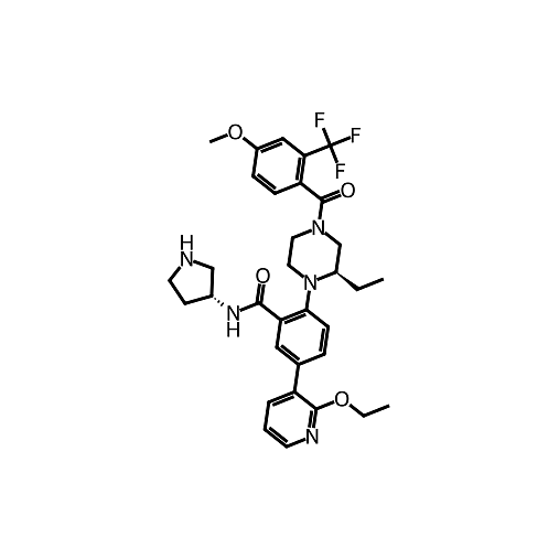 CCOc1ncccc1-c1ccc(N2CCN(C(=O)c3ccc(OC)cc3C(F)(F)F)C[C@H]2CC)c(C(=O)N[C@@H]2CCNC2)c1